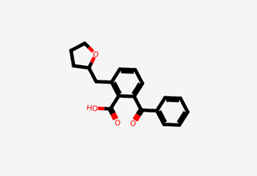 O=C(c1ccccc1)c1cccc(CC2CCCO2)c1C(=O)O